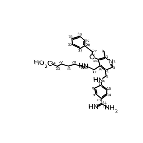 Cc1ncc(CNc2ccc(C(=N)N)cc2)c(CNCCCCCC(=O)O)c1OCc1ccccc1